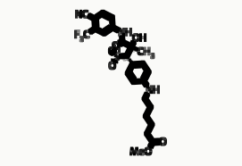 COC(=O)CCCCCNc1ccc([C@H]([SH](=O)=O)[C@@](C)(O)C(=O)Nc2ccc(C#N)c(C(F)(F)F)c2)cc1